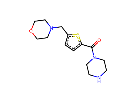 O=C(c1ccc(CN2CCOCC2)s1)N1CCNCC1